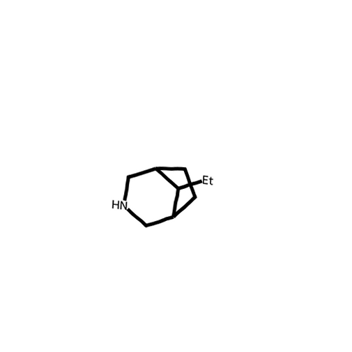 CCC1C2CCC1CNC2